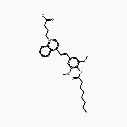 CCCCCCCC(=O)Oc1c(OC)cc(C=Cc2cc[n+](CCCC(=O)[O-])c3ccccc23)cc1OC